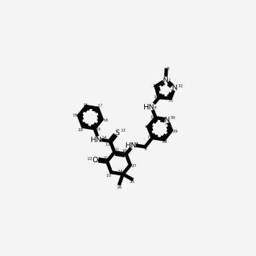 Cn1cc(Nc2cc(CNC3=C(C(=S)Nc4ccccc4)C(=O)CC(C)(C)C3)ccn2)cn1